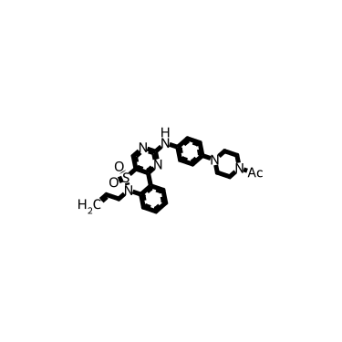 C=CCN1c2ccccc2-c2nc(Nc3ccc(N4CCN(C(C)=O)CC4)cc3)ncc2S1(=O)=O